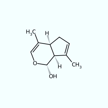 CC1=CC[C@@H]2C(C)=CO[C@@H](O)[C@H]12